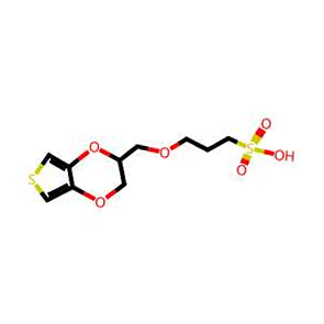 O=S(=O)(O)CCCOCC1COc2cscc2O1